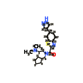 CN(C)CCN(CC1CCCC1)C(=O)c1nc2ccc(-c3cn[nH]c3)cc2s1